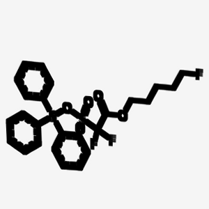 O=C(OCCCCCF)C(F)(F)S(=O)(=O)OS(c1ccccc1)(c1ccccc1)c1ccccc1